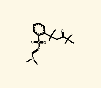 CN(C)C=NS(=O)(=O)c1ccccc1C(C)(C)CC(=O)C(F)(F)F